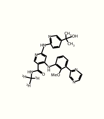 [2H]C([2H])([2H])NC(=O)c1cnc(Nc2ccc(C(C)(C)O)cn2)cc1Nc1cccc(-c2cnccn2)c1OC